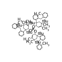 CC1=CC(OP(OC2C=C(C)C(C)(C(C)(C)C)CC2(c2ccccc2Cc2ccccc2C)C(C)(C)C)OC2C=C(C)C(C)(C(C)(C)C)CC2(c2ccccc2Cc2ccccc2C)C(C)(C)C)C(c2ccccc2Cc2ccccc2C)(C(C)(C)C)CC1(C)C(C)(C)C